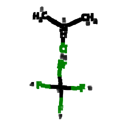 C[SiH](C)Cl.FC(F)(F)Br